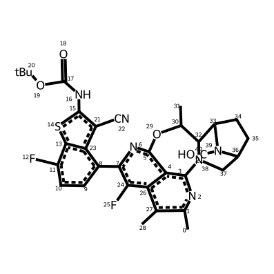 Cc1nc2c3c(nc(-c4ccc(F)c5sc(NC(=O)OC(C)(C)C)c(C#N)c45)c(F)c3c1C)OC(C)C1C3CCC(CN21)N3C(=O)O